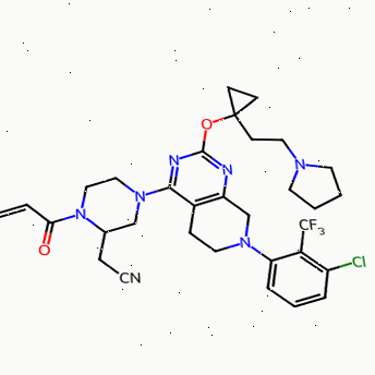 C=CC(=O)N1CCN(c2nc(OC3(CCN4CCCC4)CC3)nc3c2CCN(c2cccc(Cl)c2C(F)(F)F)C3)CC1CC#N